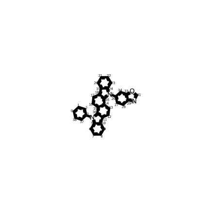 c1ccc(-n2c3ccccc3c3ccc4c(ccc5c6ccccc6n(-c6ccc7ncoc7c6)c54)c32)cc1